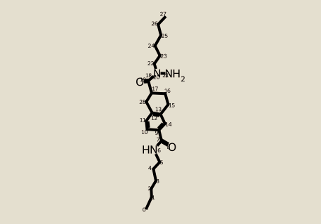 CCCCCCNC(=O)c1ccc2c(c1)CCC(C(=O)N(N)CCCCCC)C2